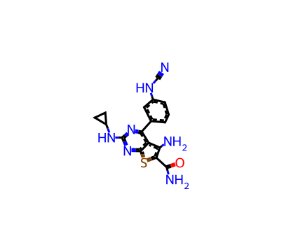 N#CNc1cccc(-c2nc(NC3CC3)nc3sc(C(N)=O)c(N)c23)c1